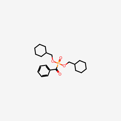 O=C(c1ccccc1)P(=O)(OCC1CCCCC1)OCC1CCCCC1